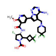 COc1ncc(-c2cc(CN3CCC(F)(F)CC3)c3c(N)ncnn23)cc1C(=O)N[C@@H]1C(C2CC(F)(F)C2)N(C(=O)O)C[C@@H]1F